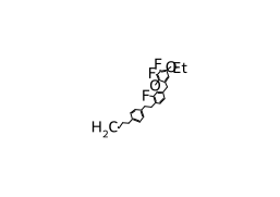 C=CCCc1ccc(CCc2ccc3c(c2F)Oc2c(cc(OCC)c(F)c2F)C3)cc1